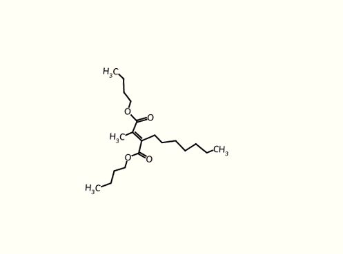 CCCCCCCC(C(=O)OCCCC)=C(C)C(=O)OCCCC